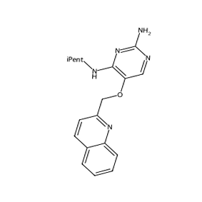 CCCC(C)Nc1nc(N)ncc1OCc1ccc2ccccc2n1